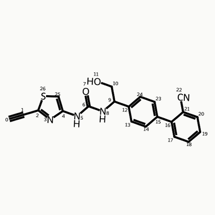 C#Cc1nc(NC(=O)NC(CO)c2ccc(-c3ccccc3C#N)cc2)cs1